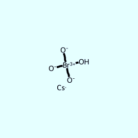 [Cs].[O-][Br+3]([O-])([O-])O